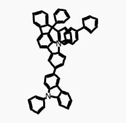 c1ccc(-c2ccc(-n3c4ccc(-c5ccc6c(c5)c5ccccc5n6-c5ccccc5)cc4c4ccc5c(c43)C(c3ccccc3)(c3ccccc3)c3ccccc3-5)cc2)cc1